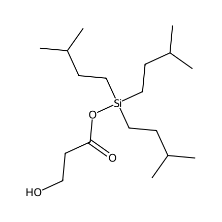 CC(C)CC[Si](CCC(C)C)(CCC(C)C)OC(=O)CCO